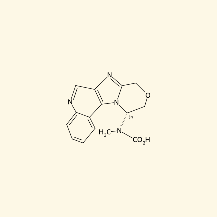 CN(C(=O)O)[C@H]1COCc2nc3cnc4ccccc4c3n21